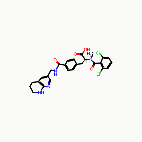 CN(C(=O)c1c(Cl)cccc1Cl)[C@@H](Cc1ccc(C(=O)NCc2cnc3c(c2)CCCN3)cc1)C(=O)O